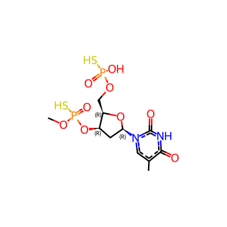 COP(=O)(S)O[C@@H]1C[C@H](n2cc(C)c(=O)[nH]c2=O)O[C@@H]1COP(=O)(O)S